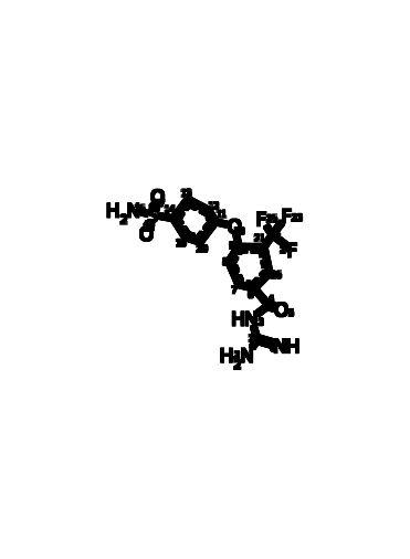 N=C(N)NC(=O)c1ccc(Oc2ccc(S(N)(=O)=O)cc2)c(C(F)(F)F)c1